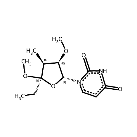 CC[C@@]1(OC)O[C@@H](n2ccc(=O)[nH]c2=O)[C@H](OC)[C@@H]1C